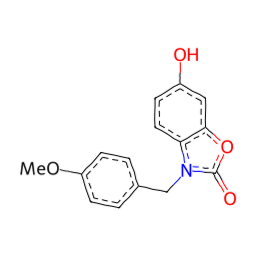 COc1ccc(Cn2c(=O)oc3cc(O)ccc32)cc1